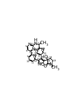 CC(Nc1nccc(-c2cccc(-c3cc(C4(O)CCN(C)C4=O)on3)n2)n1)c1ncccn1